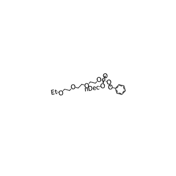 CCCCCCCCCCOP(=O)(OCCOCCOCCOCC)OOc1ccccc1